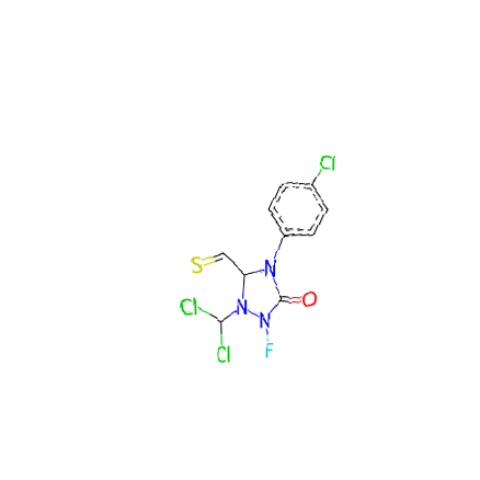 O=C1N(c2ccc(Cl)cc2)C(C=S)N(C(Cl)Cl)N1F